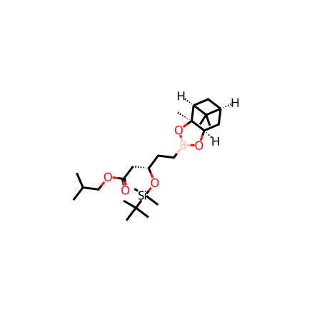 CC(C)COC(=O)C[C@H](CCB1O[C@@H]2C[C@@H]3C[C@@H](C3(C)C)[C@]2(C)O1)O[Si](C)(C)C(C)(C)C